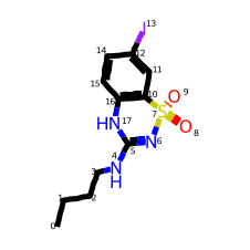 CCCCNC1=NS(=O)(=O)c2cc(I)ccc2N1